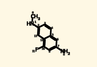 CNc1ccc2cc(N)cc(F)c2c1